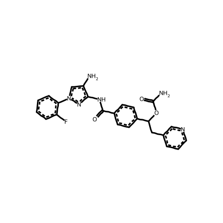 NC(=O)OC(Cc1cccnc1)c1ccc(C(=O)Nc2nn(-c3ccccc3F)cc2N)cc1